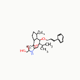 CC1CCC2C1C(OC/C=C/c1ccccc1)C1(C(C)C)CC(NC(=O)CO)C2(C)O1